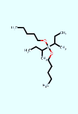 CCCCCO[Si](OCCCCC)(C(C)CC)C(C)CC